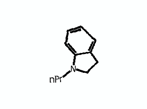 [CH2]CCN1CCc2ccccc21